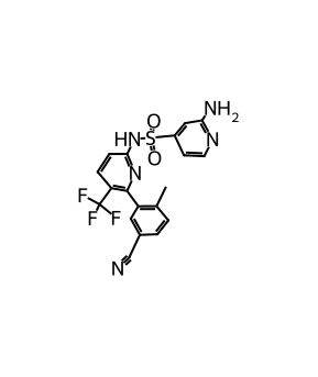 Cc1ccc(C#N)cc1-c1nc(NS(=O)(=O)c2ccnc(N)c2)ccc1C(F)(F)F